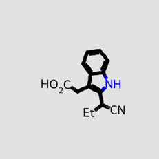 CCC(C#N)c1[nH]c2ccccc2c1CC(=O)O